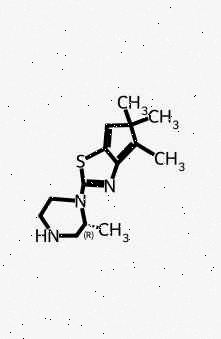 CC1=c2nc(N3CCNC[C@H]3C)sc2=CC1(C)C